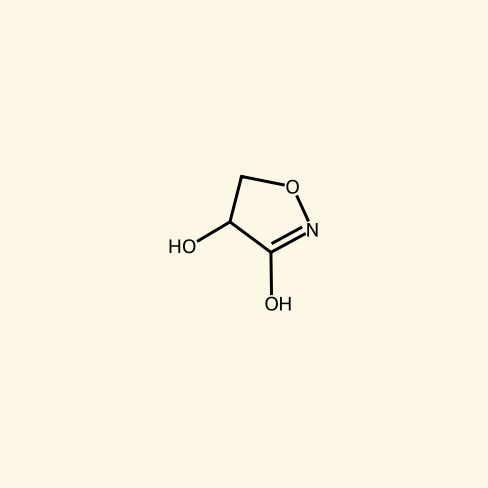 OC1=NOCC1O